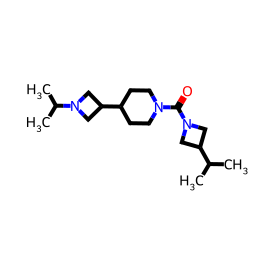 CC(C)C1CN(C(=O)N2CCC(C3CN(C(C)C)C3)CC2)C1